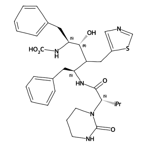 CC(C)[C@@H](C(=O)N[C@@H](Cc1ccccc1)C(Cc1cncs1)[C@@H](O)[C@H](Cc1ccccc1)NC(=O)O)N1CCCNC1=O